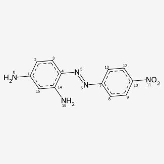 Nc1ccc(N=Nc2ccc([N+](=O)[O-])cc2)c(N)c1